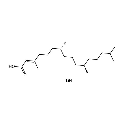 C/C(=C\C(=O)O)CCC[C@H](C)CCC[C@H](C)CCCC(C)C.[LiH]